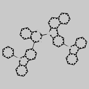 c1ccc(-n2c3ccccc3c3ccc(-c4nc(-n5c6ccc(-n7c8ccccc8c8ccccc87)cc6c6c7ccccc7ccc65)nc5ccccc45)cc32)cc1